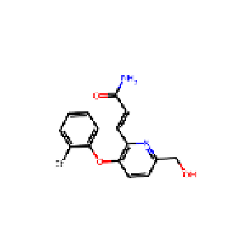 CCc1ccccc1Oc1ccc(CO)nc1C=CC(N)=O